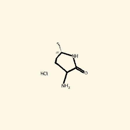 C[C@H]1CC(N)C(=O)N1.Cl